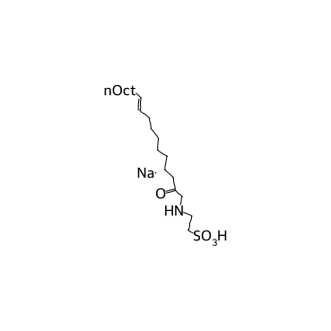 CCCCCCCCC=CCCCCCCCC(=O)CNCCS(=O)(=O)O.[Na]